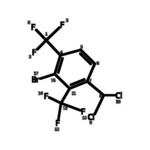 FC(F)(F)c1c[c]c(C(Cl)Cl)c(C(F)(F)F)c1Br